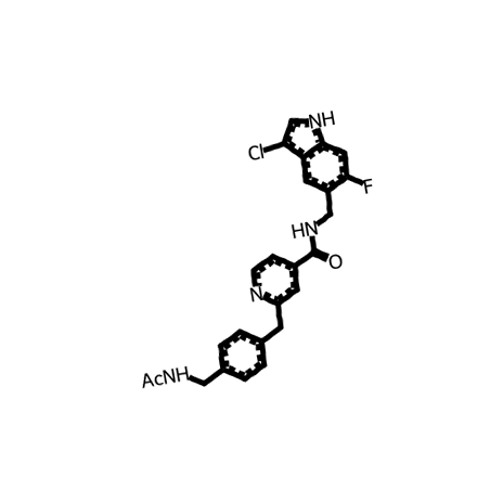 CC(=O)NCc1ccc(Cc2cc(C(=O)NCc3cc4c(Cl)c[nH]c4cc3F)ccn2)cc1